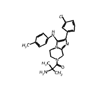 Cc1ccc(Nc2c(-c3cccc(Cl)c3)nc3n2CCN(C(=O)C(C)(C)N)C3)cc1